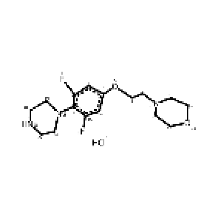 Cl.Fc1cc(OCCN2CCOCC2)cc(F)c1N1CCNCC1